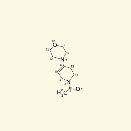 CC(=O)N1CC=C(N2CCOCC2)CC1